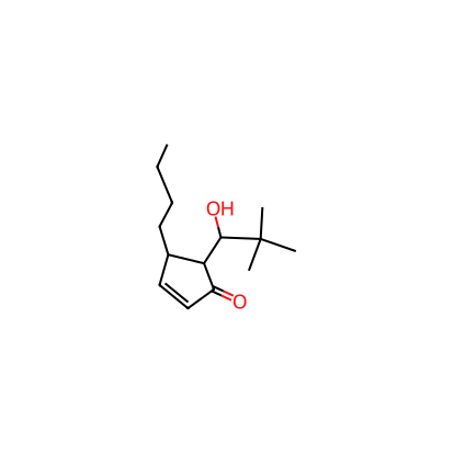 CCCCC1C=CC(=O)C1C(O)C(C)(C)C